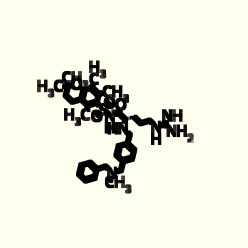 Cc1c(C)c(S(=O)(=O)NC(=O)[C@H](CCCNC(=N)N)NCc2ccc(CN(C)Cc3ccccc3)cc2)c(C)c2c1OC(C)(C)CC2